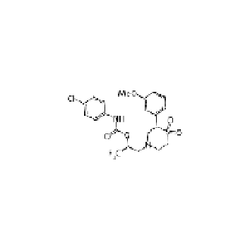 COc1cccc([C@@H]2CN(C[C@H](OC(=O)Nc3ccc(Cl)cc3)C(F)(F)F)CCS2(=O)=O)c1